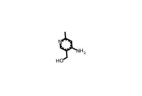 Cc1cc(N)c(CO)cn1